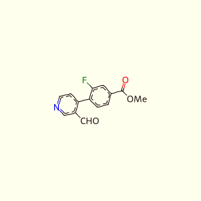 COC(=O)c1ccc(-c2ccncc2C=O)c(F)c1